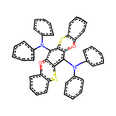 c1ccc(N(c2ccccc2)c2c3oc4ccccc4sc3c(N(c3ccccc3)c3ccccc3)c3oc4ccccc4sc23)cc1